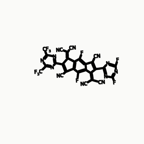 N#CC(C#N)=C1C(c2nc(F)nc(F)n2)=C(C#N)c2c(F)c3c(c(F)c21)C(C#N)=C(c1nc(C(F)(F)F)nc(C(F)(F)F)n1)C3=C(C#N)C#N